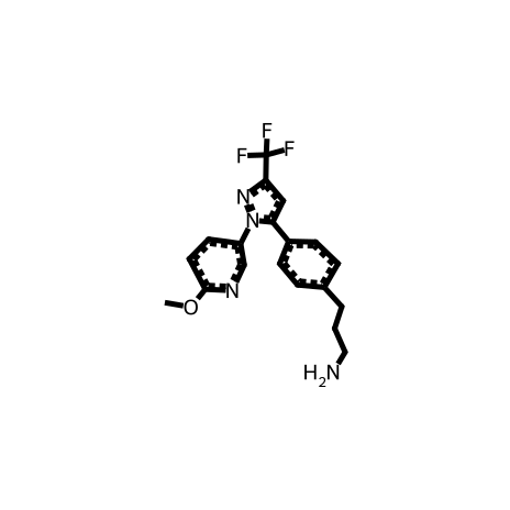 COc1ccc(-n2nc(C(F)(F)F)cc2-c2ccc(CCCN)cc2)cn1